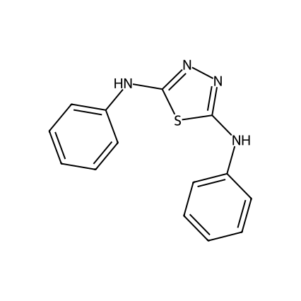 c1ccc(Nc2nnc(Nc3ccccc3)s2)cc1